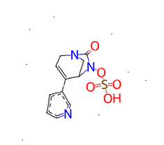 O=C1N2CC=C(c3cccnc3)C(C2)N1OS(=O)(=O)O